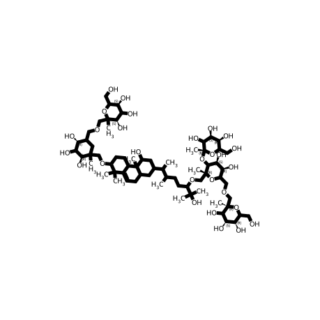 CC(CCC(OC[C@@]1(C)OC(COC[C@@]2(C)OC(CO)[C@H](O)[C@H](O)C2O)[C@H](O)[C@H](O)C1O[C@@]1(C)OC(CO)[C@H](O)[C@H](O)C1O)C(C)(C)O)C(C)C1CC(O)C2(C)C(CC=C3C2CCC(OCC2(C)CC(COCC4(C)OC(CO)[C@@H](O)C(O)[C@@H]4O)[C@@H](O)C(O)[C@@H]2O)C3(C)C)C1